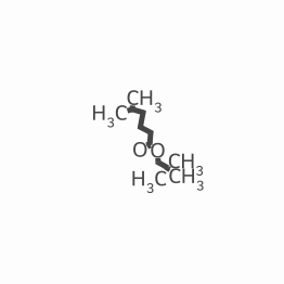 CC(C)CCCC(=O)OCC(C)(C)C